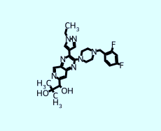 CCn1cc(-c2nc3cnc(C(O)C(C)(C)O)cc3nc2N2CCN(Cc3ccc(F)cc3F)CC2)cn1